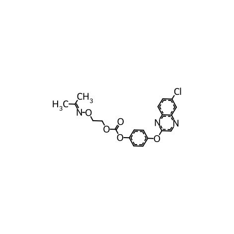 CC(C)=NOCCOC(=O)Oc1ccc(Oc2cnc3cc(Cl)ccc3n2)cc1